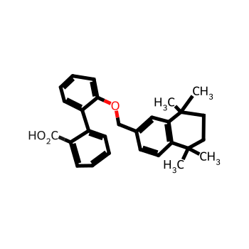 CC1(C)CCC(C)(C)c2cc(COc3ccccc3-c3ccccc3C(=O)O)ccc21